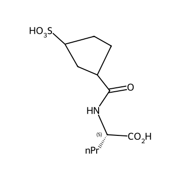 CCC[C@H](NC(=O)C1CCC(S(=O)(=O)O)C1)C(=O)O